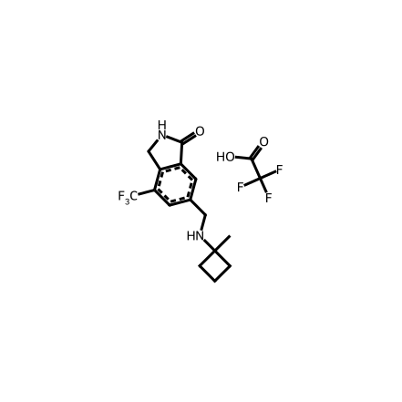 CC1(NCc2cc3c(c(C(F)(F)F)c2)CNC3=O)CCC1.O=C(O)C(F)(F)F